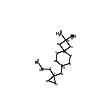 CC(C)OCC1(CN2CCC3(CC2)CC(C)(O)C3)CC1